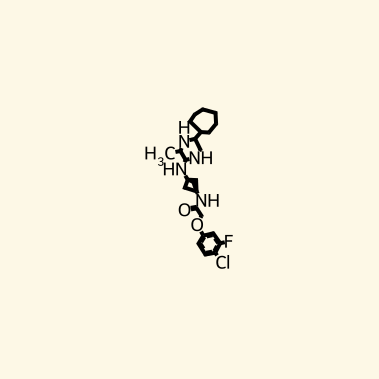 CC1NC(C2CCCCCC2)CNC1NC12CC(NC(=O)COc3ccc(Cl)c(F)c3)(C1)C2